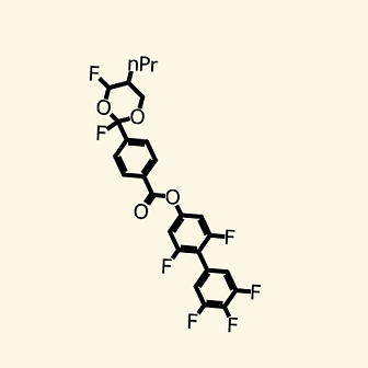 CCCC1COC(F)(c2ccc(C(=O)Oc3cc(F)c(-c4cc(F)c(F)c(F)c4)c(F)c3)cc2)OC1F